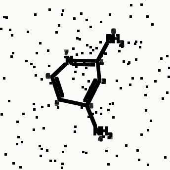 Bc1cc(N)ccn1